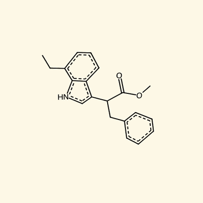 CCc1cccc2c(C(Cc3ccccc3)C(=O)OC)c[nH]c12